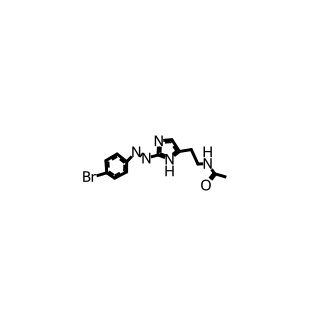 CC(=O)NCCc1cnc(/N=N/c2ccc(Br)cc2)[nH]1